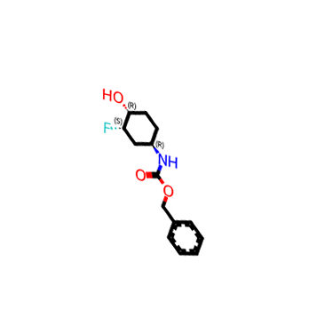 O=C(N[C@@H]1CC[C@@H](O)[C@@H](F)C1)OCc1ccccc1